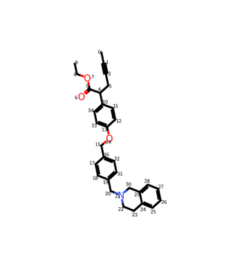 CC#CCC(C(=O)OCC)c1ccc(OCc2ccc(CN3CCc4ccccc4C3)cc2)cc1